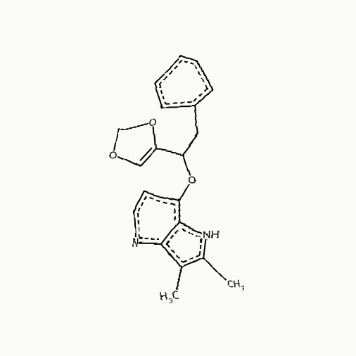 Cc1[nH]c2c(OC(Cc3ccccc3)C3=COCO3)ccnc2c1C